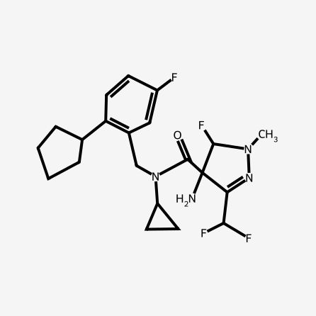 CN1N=C(C(F)F)C(N)(C(=O)N(Cc2cc(F)ccc2C2CCCC2)C2CC2)C1F